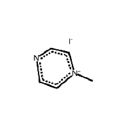 C[n+]1ccncc1.[I-]